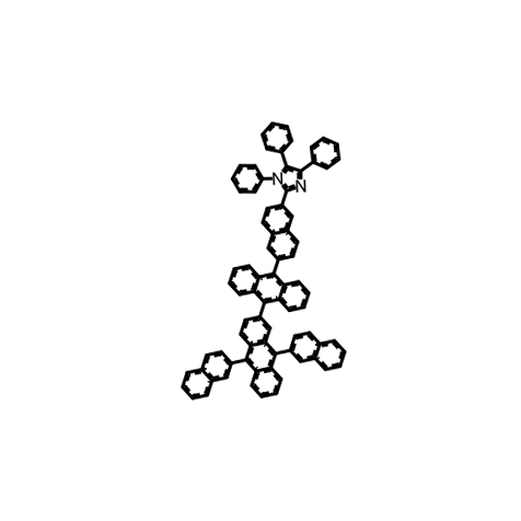 c1ccc(-c2nc(-c3ccc4cc(-c5c6ccccc6c(-c6ccc7c(-c8ccc9ccccc9c8)c8ccccc8c(-c8ccc9ccccc9c8)c7c6)c6ccccc56)ccc4c3)n(-c3ccccc3)c2-c2ccccc2)cc1